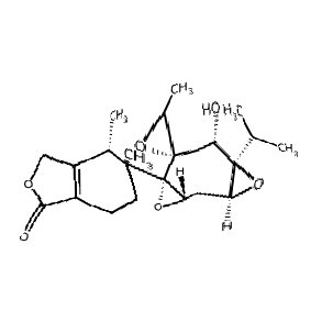 CC(C)[C@]12O[C@H]1[C@@H]1O[C@]1([C@@]1(C)CCC3=C(COC3=O)[C@@H]1C)[C@]1(OC1C)[C@@H]2O